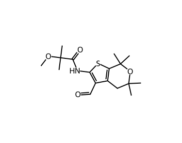 COC(C)(C)C(=O)Nc1sc2c(c1C=O)CC(C)(C)OC2(C)C